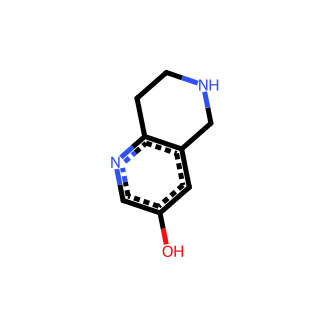 Oc1cnc2c(c1)CNCC2